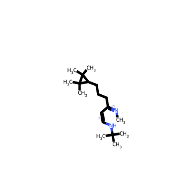 C/N=C(\C=C/NC(C)(C)C)CCCC1C(C)(C)C1(C)C